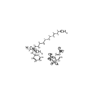 CCCCCCCCCCCC[N+](C)(C)Cc1ccccc1.O=[N+]([O-])c1ccc(S(=O)(=O)[O-])c([N+](=O)[O-])c1